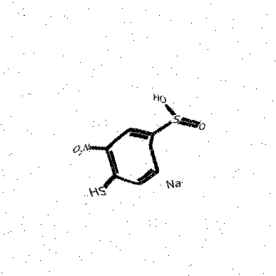 O=[N+]([O-])c1cc(S(=O)O)ccc1S.[Na]